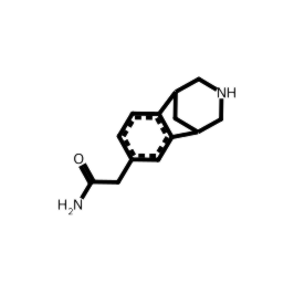 NC(=O)Cc1ccc2c(c1)C1CNCC2C1